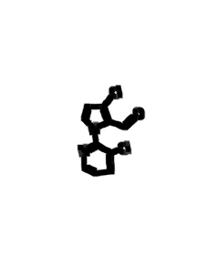 O=Cc1c(Cl)ccn1-c1ncccc1Cl